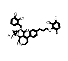 CNC1CNCCC(c2ccc(CCCOc3c(F)ccc(F)c3Cl)cc2)=C1C(=O)N(Cc1cccc(Cl)c1Cl)C1CC1